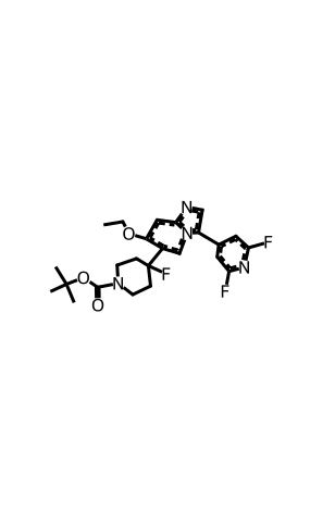 CCOc1cc2ncc(-c3cc(F)nc(F)c3)n2cc1C1(F)CCN(C(=O)OC(C)(C)C)CC1